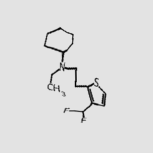 CCN(CCc1sccc1C(F)F)C1CCCCC1